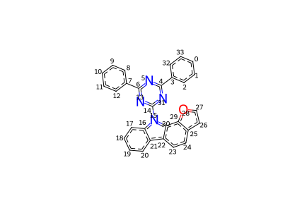 c1ccc(-c2nc(-c3ccccc3)nc(-n3c4ccccc4c4ccc5ccoc5c43)n2)cc1